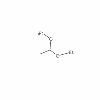 CCOC(C)OC(C)C